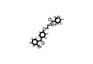 O=C(NCCOc1ccc(C(=O)c2ccccc2Br)cc1)c1cccnc1